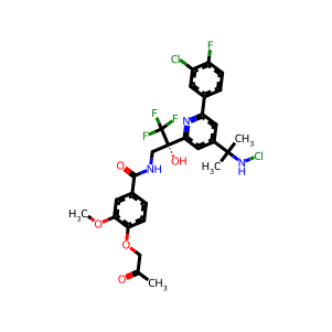 COc1cc(C(=O)NC[C@](O)(c2cc(C(C)(C)NCl)cc(-c3ccc(F)c(Cl)c3)n2)C(F)(F)F)ccc1OCC(C)=O